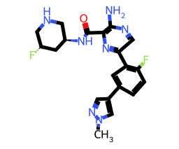 Cn1cc(-c2ccc(F)c(-c3cnc(N)c(C(=O)N[C@@H]4CNC[C@@H](F)C4)n3)c2)cn1